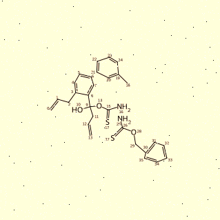 C=CCc1ccccc1C(O)(CC=C)OC(N)=S.Cc1ccccc1.NC(=S)OCc1ccccc1